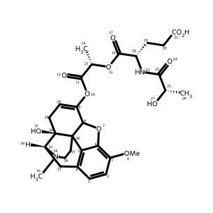 COc1ccc2c3c1OC1C(OC(=O)[C@H](C)OC(=O)[C@H](CCC(=O)O)NC(=O)[C@H](C)O)=CC[C@@]4(O)[C@@H](C2)N(C)CCC314